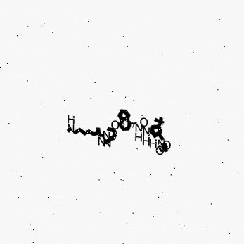 C=C(CCCCCNC)c1nnc2ccc(O[C@@H]3CC[C@H](CNC(=O)Nc4cc(CNS(C)(=O)=O)cc(C(C)(C)C)c4)c4ccccc43)cn12